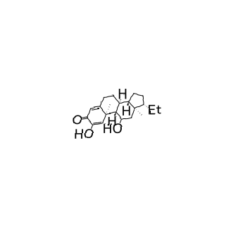 CC[C@H]1CC[C@H]2[C@@H]3CCC4=CC(=O)C(O)=C[C@]4(C)[C@H]3C(O)C[C@]12C